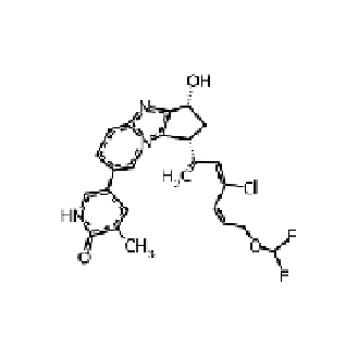 C=C(/C=C(Cl)\C=C/COC(F)F)[C@H]1C[C@@H](O)c2nc3ccc(-c4c[nH]c(=O)c(C)c4)cn3c21